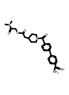 CN(C)C(=O)COC(=O)CC1CCN(C(=O)c2ccc(-c3ccc(C(=N)N)cc3)cc2)CC1